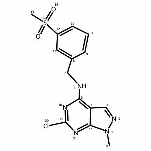 Cn1ncc2c(NCc3cccc(S(C)(=O)=O)c3)nc(Cl)nc21